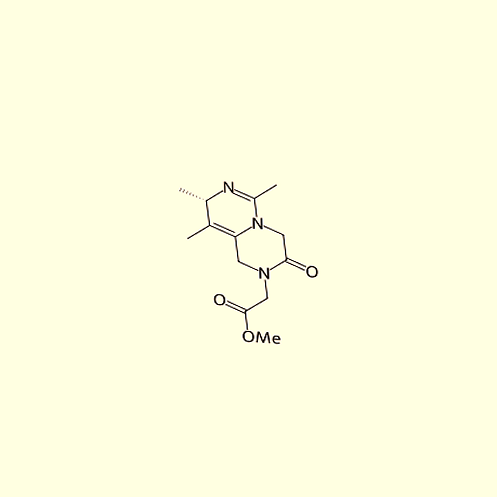 COC(=O)CN1CC2=C(C)[C@H](C)N=C(C)N2CC1=O